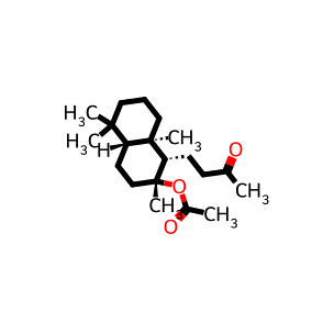 CC(=O)CC[C@H]1[C@]2(C)CCCC(C)(C)[C@H]2CC[C@@]1(C)OC(C)=O